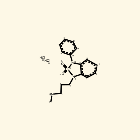 CNCCCN1c2ccncc2N(c2ccccc2)S1(=O)=O.Cl.Cl